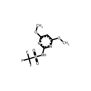 COc1cc(OC)nc(NS(=O)(=O)C(F)(F)F)n1